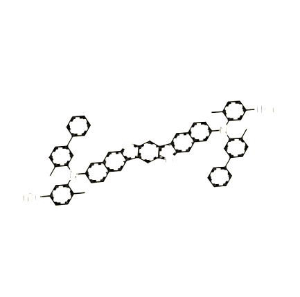 Cc1ccc(-c2ccccc2)cc1N(c1ccc2cc3c(cc2c1)oc1cc2c(cc13)oc1cc3cc(N(c4cc(-c5ccccc5)ccc4C)c4cc(C(C)(C)C)ccc4C)ccc3cc12)c1cc(C(C)(C)C)ccc1C